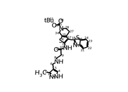 Cc1n[nH]cc1CNCCC(=O)Nc1sc2c(c1-c1nc3ccccc3s1)CCN(C(=O)OC(C)(C)C)C2